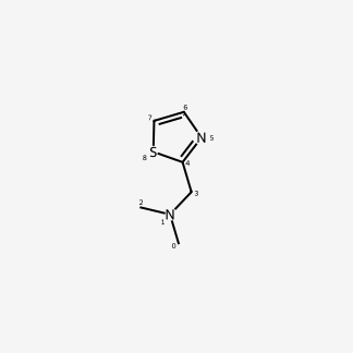 CN(C)Cc1n[c]cs1